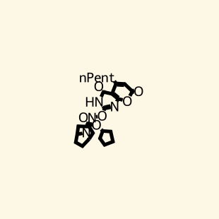 CCCCCc1cc(=O)oc2nc(ON=C3CC4CCC(C3)N4C(=O)OC3CCCC3)[nH]c(=O)c12